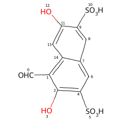 O=Cc1c(O)c(S(=O)(=O)O)cc2cc(S(=O)(=O)O)c(O)cc12